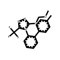 COCOc1nnc(C(F)(F)F)n1-c1ccccc1-c1ccc(C)cc1